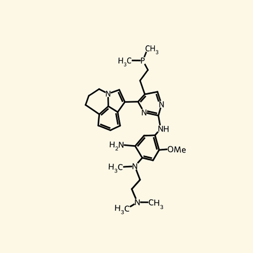 COc1cc(N(C)CCN(C)C)c(N)cc1Nc1ncc(CCP(C)C)c(-c2cn3c4c(cccc24)CCC3)n1